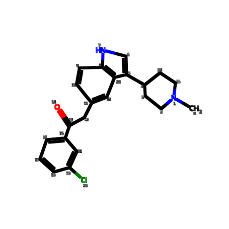 CN1CCC(c2c[nH]c3ccc(CC(=O)c4cccc(Cl)c4)cc23)CC1